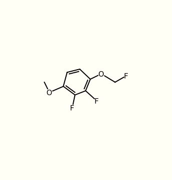 COc1ccc(OCF)c(F)c1F